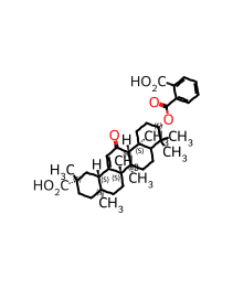 CC1(C)C2CC[C@]3(C)[C@H](C(=O)C=C4[C@H]5C[C@@](C)(C(=O)O)CC[C@]5(C)CC[C@]43C)[C@@]2(C)CC[C@@H]1OC(=O)c1ccccc1C(=O)O